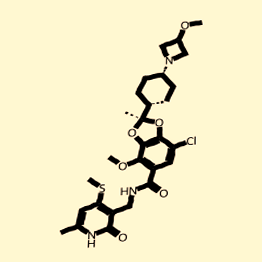 COc1c(C(=O)NCc2c(SC)cc(C)[nH]c2=O)cc(Cl)c2c1O[C@@](C)([C@H]1CC[C@@H](N3CC(OC)C3)CC1)O2